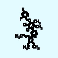 CCC[CH2][Sn]([CH2]CCC)([CH2]CCC)[c]1cc(-n2c(C)c(C)c(OCc3ncc(F)cc3F)c(Cl)c2=O)ccn1